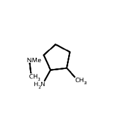 CC1CCCC1N.CNC